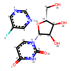 Fc1cncnc1.O=c1ccn([C@@H]2O[C@H](CO)[C@@H](O)[C@H]2O)c(=O)[nH]1